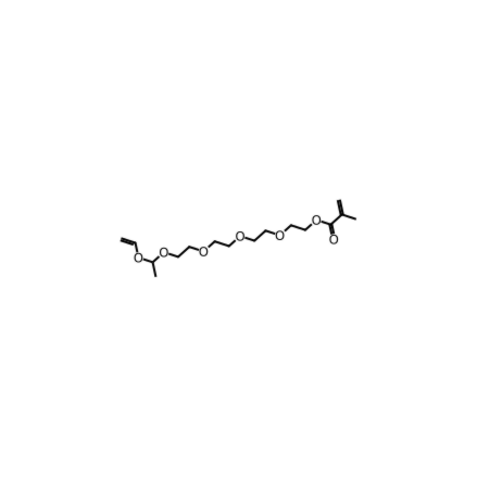 C=COC(C)OCCOCCOCCOCCOC(=O)C(=C)C